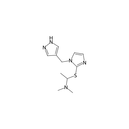 CC(Sc1nccn1Cc1cn[nH]c1)N(C)C